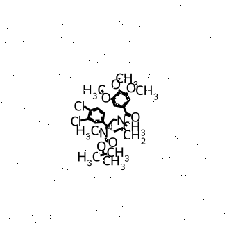 C=CC[C@@](CN(C)C(=O)c1cc(OC)c(OC)c(OC)c1)(c1ccc(Cl)c(Cl)c1)N(C)C(=O)OC(C)(C)C